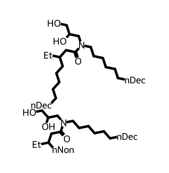 CCCCCCCCCCCCCCCCN(CC(O)CO)C(=O)CC(CC)CCCCCCCCC.CCCCCCCCCCCCCCCCN(CC(O)CO)C(=O)CC(CC)CCCCCCCCCCCCCCC